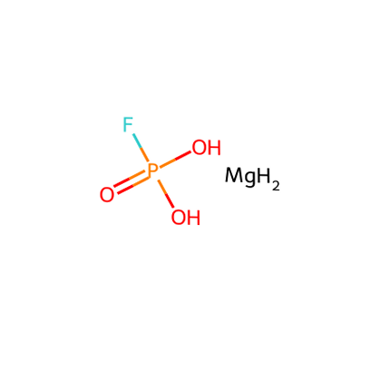 O=P(O)(O)F.[MgH2]